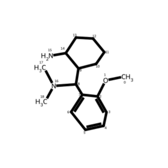 COc1ccccc1C(C1CCCCC1N)N(C)C